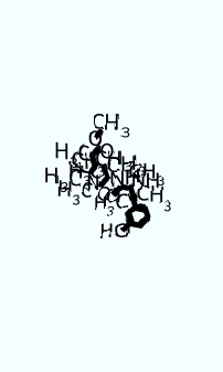 CCOC(=O)/C(C)=C/[C@H](C(C)C)N(C)C(=O)[C@@H](NC(=O)[C@@H](NC)C(C)(C)c1cccc(O)c1)C(C)(C)C